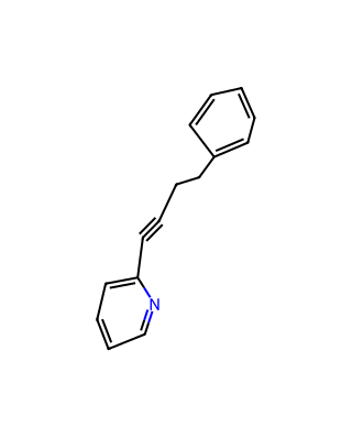 C(#Cc1ccccn1)CCc1ccccc1